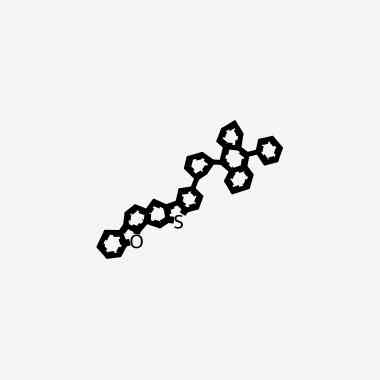 c1ccc(-c2c3ccccc3c(-c3cccc(-c4ccc5sc6cc7c(ccc8c9ccccc9oc78)cc6c5c4)c3)c3ccccc23)cc1